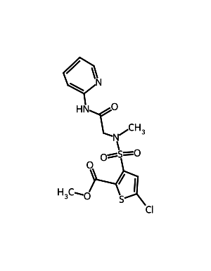 COC(=O)c1sc(Cl)cc1S(=O)(=O)N(C)CC(=O)Nc1ccccn1